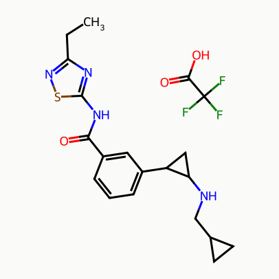 CCc1nsc(NC(=O)c2cccc(C3CC3NCC3CC3)c2)n1.O=C(O)C(F)(F)F